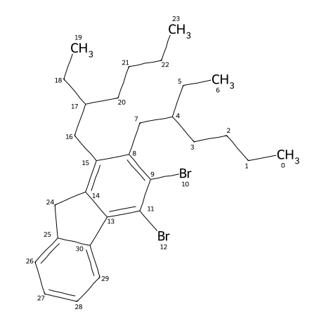 CCCCC(CC)Cc1c(Br)c(Br)c2c(c1CC(CC)CCCC)Cc1ccccc1-2